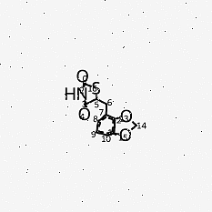 O=C1NC(=O)C(Cc2cccc3c2OCO3)S1